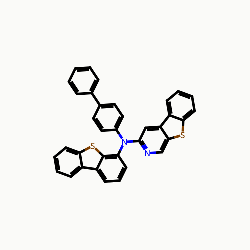 c1ccc(-c2ccc(N(c3cc4c(cn3)sc3ccccc34)c3cccc4c3sc3ccccc34)cc2)cc1